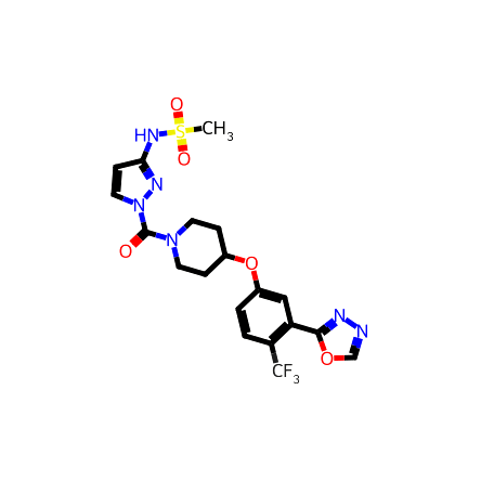 CS(=O)(=O)Nc1ccn(C(=O)N2CCC(Oc3ccc(C(F)(F)F)c(-c4nnco4)c3)CC2)n1